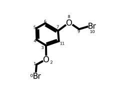 BrCOc1cccc(OCBr)c1